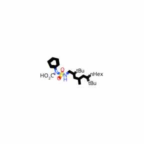 CCCCCCC(CC(C)CC(CNS(=O)(=O)N(C(=O)O)c1ccccc1)C(C)(C)C)C(C)(C)C